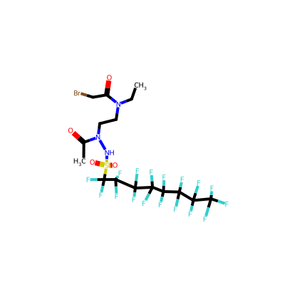 CCN(CCN(NS(=O)(=O)C(F)(F)C(F)(F)C(F)(F)C(F)(F)C(F)(F)C(F)(F)C(F)(F)C(F)(F)F)C(C)=O)C(=O)CBr